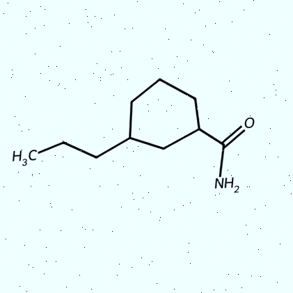 CCCC1CCCC(C(N)=O)C1